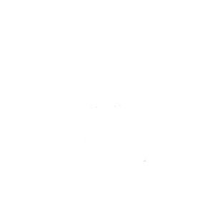 C=CC=CCCOC(=O)C[P+](c1ccccc1)(c1ccccc1)c1ccccc1.[Br-]